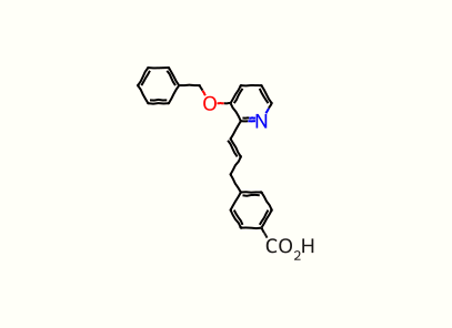 O=C(O)c1ccc(C/C=C/c2ncccc2OCc2ccccc2)cc1